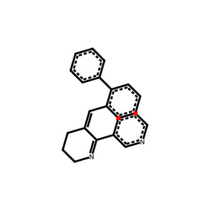 C(=C1\CCCN=C1c1cccnc1)/c1ccccc1-c1ccccc1